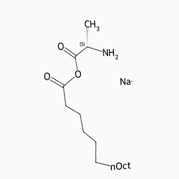 CCCCCCCCCCCCCC(=O)OC(=O)[C@H](C)N.[Na]